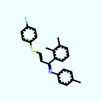 Cc1ccc(N=C(C=CSc2ccc(F)cc2)c2cccc(C)c2C)cc1